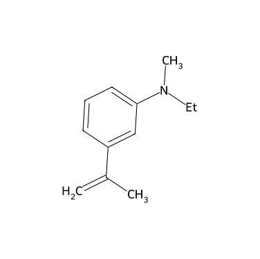 C=C(C)c1cccc(N(C)CC)c1